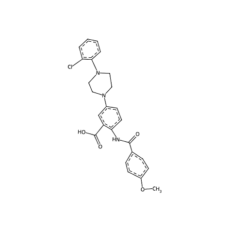 COc1ccc(C(=O)Nc2ccc(N3CCN(c4ccccc4Cl)CC3)cc2C(=O)O)cc1